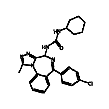 Cc1nnc2n1-c1ccccc1C(c1ccc(Cl)cc1)=NC2NC(=O)NC1CCCCC1